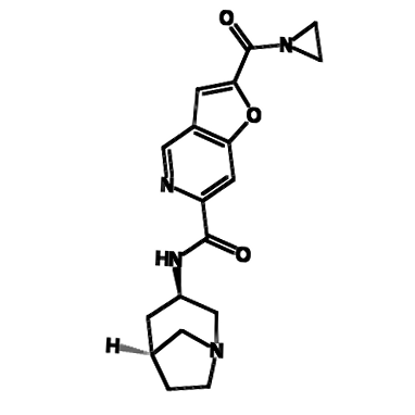 O=C(N[C@@H]1C[C@@H]2CCN(C2)C1)c1cc2oc(C(=O)N3CC3)cc2cn1